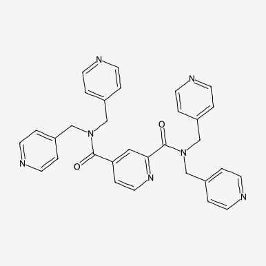 O=C(c1ccnc(C(=O)N(Cc2ccncc2)Cc2ccncc2)c1)N(Cc1ccncc1)Cc1ccncc1